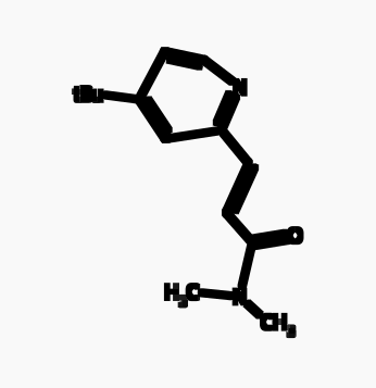 CN(C)C(=O)C=Cc1cc(C(C)(C)C)ccn1